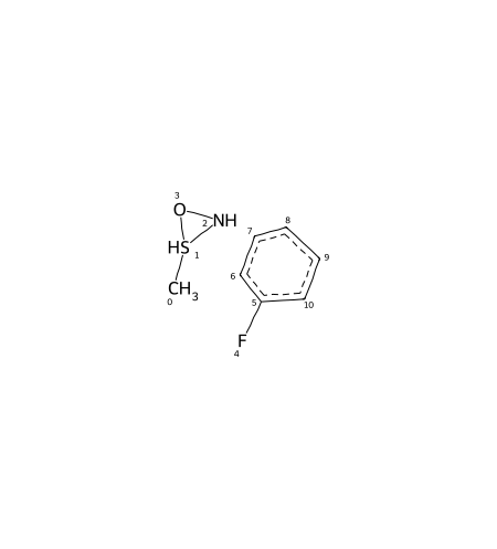 C[SH]1NO1.Fc1ccccc1